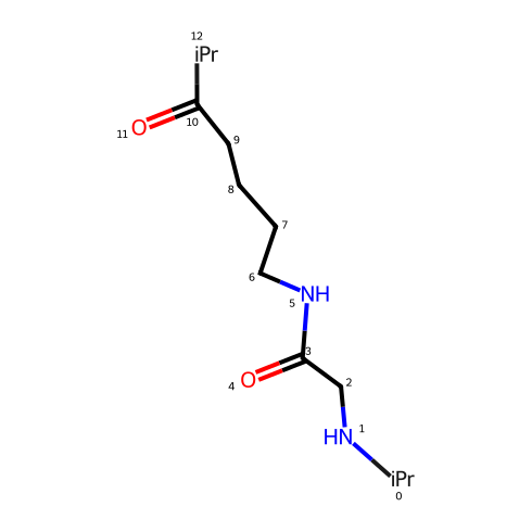 CC(C)NCC(=O)NCCCCC(=O)C(C)C